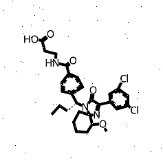 CCC[C@H](c1ccc(C(=O)NCCC(=O)O)cc1)N1C(=O)C(c2cc(Cl)cc(Cl)c2)=NC12CCCCC2OC